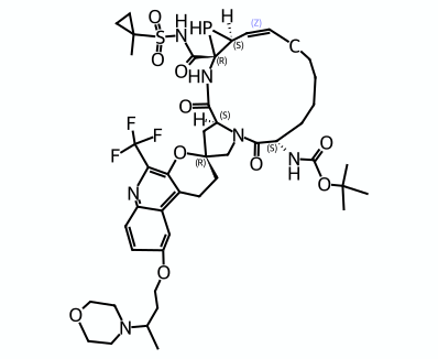 CC(CCOc1ccc2nc(C(F)(F)F)c3c(c2c1)CC[C@]1(C[C@H]2C(=O)N[C@]4(C(=O)NS(=O)(=O)C5(C)CC5)P[C@H]4/C=C\CCCCC[C@H](NC(=O)OC(C)(C)C)C(=O)N2C1)O3)N1CCOCC1